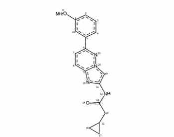 COc1cccc(-c2ccc3nc(NC(=O)CC4CC4)cn3n2)c1